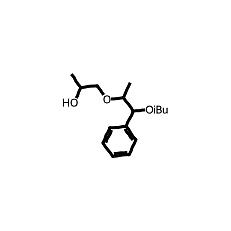 CC(C)COC(c1ccccc1)C(C)OCC(C)O